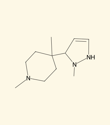 CN1CCC(C)(C2C=CNN2C)CC1